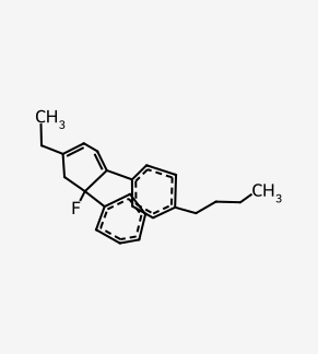 CCCCc1ccc(C2=CC=C(CC)CC2(F)c2ccccc2)cc1